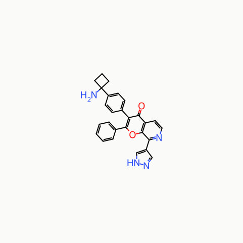 NC1(c2ccc(-c3c(-c4ccccc4)oc4c(-c5cn[nH]c5)nccc4c3=O)cc2)CCC1